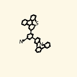 N#Cc1cc(-c2cc3sc4cccc5c6ccccc6c(c2)c3c45)cc(-c2ccc3c(c2)c2cccc4c5ccccc5n3c42)c1